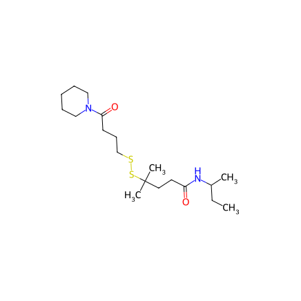 CCC(C)NC(=O)CCC(C)(C)SSCCCC(=O)N1CCCCC1